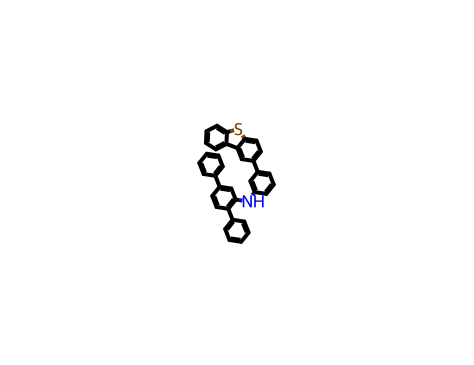 c1ccc(-c2ccc(-c3ccccc3)c(Nc3cccc(-c4ccc5sc6ccccc6c5c4)c3)c2)cc1